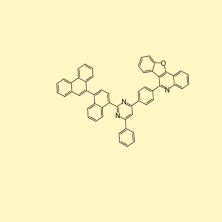 c1ccc(-c2cc(-c3ccc(-c4nc5ccccc5c5oc6ccccc6c45)cc3)nc(-c3ccc(-c4cc5ccccc5c5ccccc45)c4ccccc34)n2)cc1